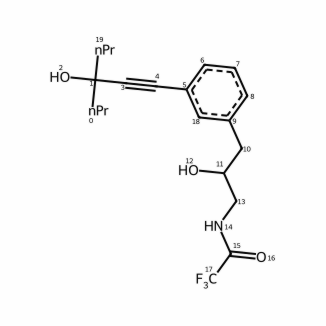 CCCC(O)(C#Cc1cccc(CC(O)CNC(=O)C(F)(F)F)c1)CCC